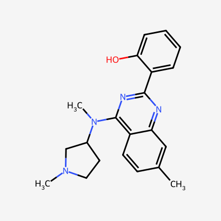 Cc1ccc2c(N(C)C3CCN(C)C3)nc(-c3ccccc3O)nc2c1